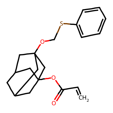 C=CC(=O)OC12CC3CC(CC(OCSc4ccccc4)(C3)C1)C2